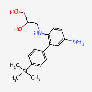 C[Si](C)(C)c1ccc(-c2cc(N)ccc2NCC(O)CO)cc1